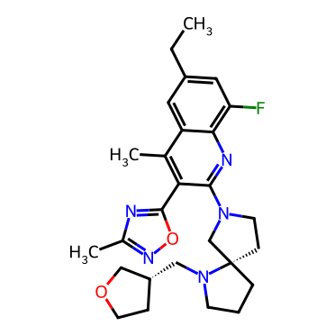 CCc1cc(F)c2nc(N3CC[C@@]4(CCCN4C[C@@H]4CCOC4)C3)c(-c3nc(C)no3)c(C)c2c1